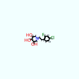 O[C@H]1[C@H](O)CN(CCc2ccc(Cl)cc2F)C[C@@H]1O